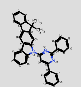 CC1(C)c2ccccc2-c2cc3c4ccccc4n(-c4cc(-c5ccccc5)nc(-c5ccccc5)n4)c3cc21